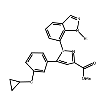 CCn1ncc2cccc(-n3nc(C(=O)OC)cc3-c3cccc(OC4CC4)c3)c21